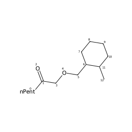 CCCCCC(=O)COCC1CCCCC1C